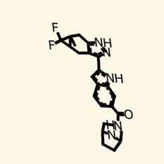 CC12Cc3[nH]nc(-c4cc5ccc(C(=O)N6CC7CCC(C6)N7)cc5[nH]4)c3CC1C2(F)F